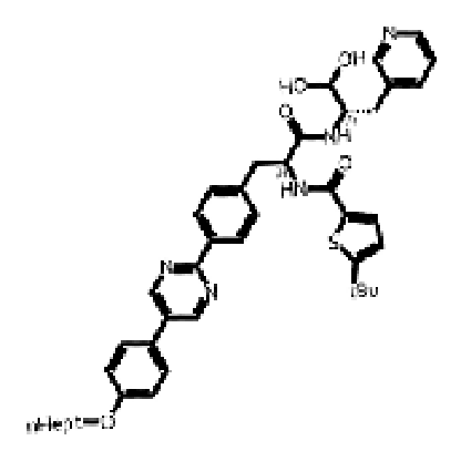 CCCCCCCOc1ccc(-c2cnc(-c3ccc(C[C@H](NC(=O)c4ccc(C(C)(C)C)s4)C(=O)N[C@@H](Cc4cccnc4)C(O)O)cc3)nc2)cc1